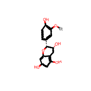 CCOc1cc([C@H]2Oc3cc(O)cc(O)c3C[C@H]2O)ccc1O